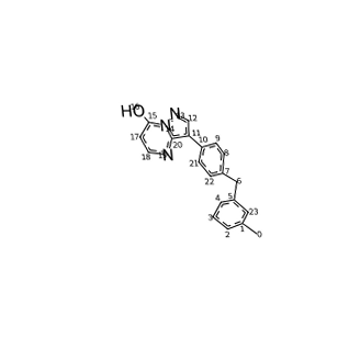 Cc1cccc(Cc2ccc(-c3cnn4c(O)ccnc34)cc2)c1